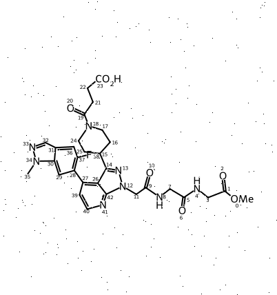 COC(=O)CNC(=O)CNC(=O)Cn1nc(C2CCN(C(=O)CCC(=O)O)CC2)c2c(-c3cc4c(cnn4C)cc3F)ccnc21